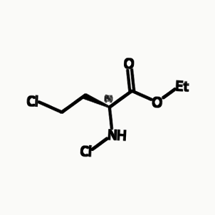 CCOC(=O)[C@H](CCCl)NCl